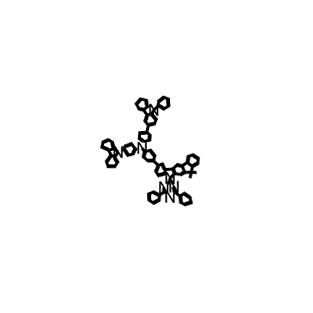 CC1(C)c2ccccc2-c2cc3c4cc(-c5ccc(N(c6ccc(-c7ccc8c(c7)c7ccccc7n8-c7ccccc7)cc6)c6ccc(-n7c8ccccc8c8ccccc87)cc6)cc5)ccc4n(-c4nc(-c5ccccc5)nc(-c5ccccc5)n4)c3cc21